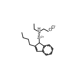 CCCCC1=Cc2ccccc2[CH]1[Zr+2][SiH](CC)CC.[Cl-].[Cl-]